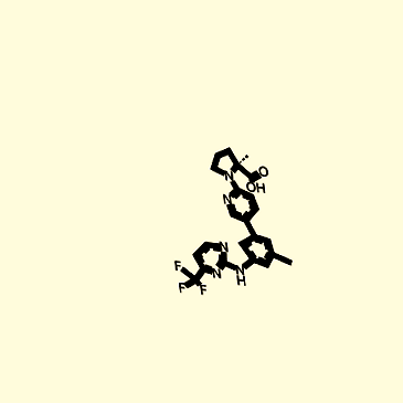 Cc1cc(Nc2nccc(C(F)(F)F)n2)cc(-c2ccc(N3CCC[C@@]3(C)C(=O)O)nc2)c1